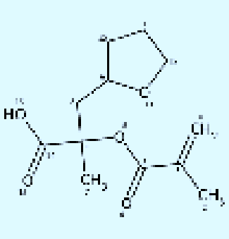 C=C(C)C(=O)OC(C)(CC1CCCO1)C(=O)O